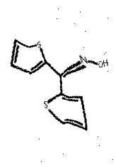 ON=C(c1cccs1)c1cccs1